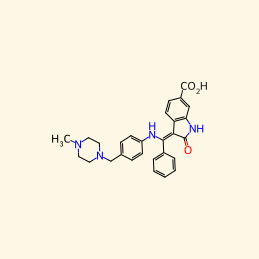 CN1CCN(Cc2ccc(NC(=C3C(=O)Nc4cc(C(=O)O)ccc43)c3ccccc3)cc2)CC1